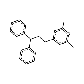 Cc1cc(CCC(c2ccccc2)c2ccccc2)cc(C)n1